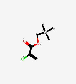 C=C(Cl)C(=O)OC[Si](C)(C)C